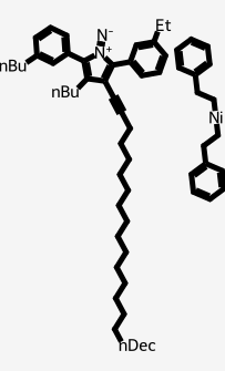 CCCCCCCCCCCCCCCCCCCCCCCCC#CC1=C(c2cccc(CC)c2)[N+](=[N-])C(c2cccc(CCCC)c2)=C1CCCC.c1ccc(C[CH2][Ni][CH2]Cc2ccccc2)cc1